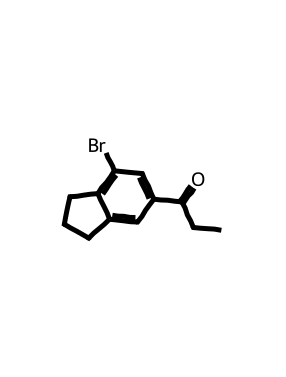 CCC(=O)c1cc(Br)c2c(c1)CCC2